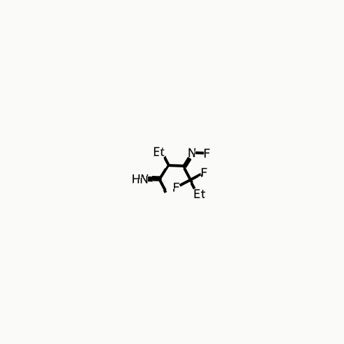 CCC(C(C)=N)C(=NF)C(F)(F)CC